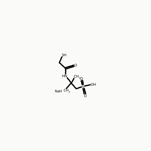 CC(C)(CS(=O)(=O)O)NC(=O)CS.[NaH]